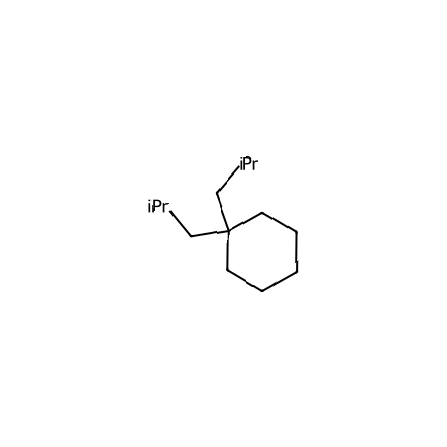 CC(C)CC1(CC(C)C)CCCCC1